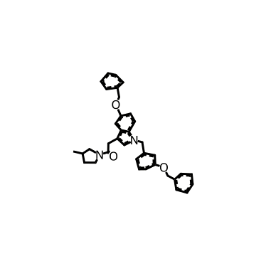 CC1CCN(C(=O)Cc2cn(Cc3cccc(OCc4ccccc4)c3)c3ccc(OCc4ccccc4)cc23)C1